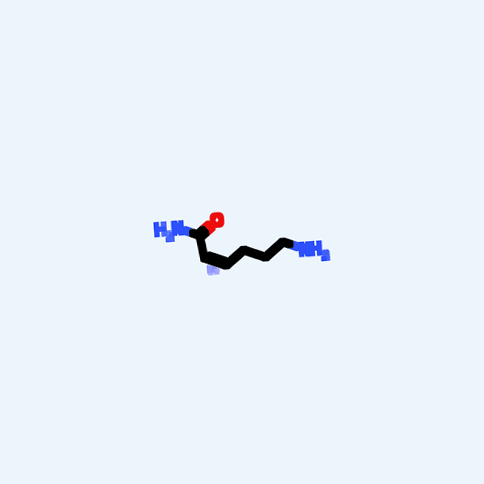 NCCC/C=C\C(N)=O